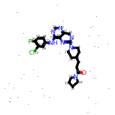 O=C(CCC1CCN(c2ncc3ncnc(Nc4ccc(F)c(Cl)c4)c3n2)CC1)N1CCCC1